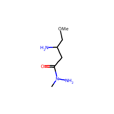 COCC(N)CC(=O)N(C)N